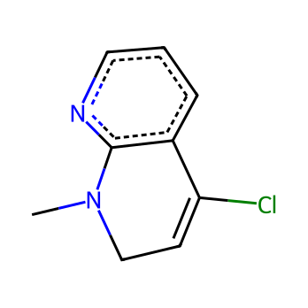 CN1CC=C(Cl)c2cccnc21